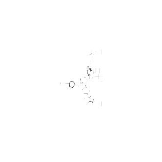 Cc1nc(C2CCC(N3CC(/C(N)=C/N(N)CCCCC(=O)O)OCC3Cc3ccc(Cl)cc3)CC2)sc1C